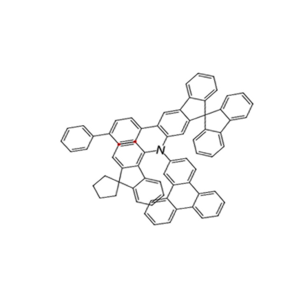 c1ccc(-c2ccc(-c3cc4c(cc3N(c3ccc5c6ccccc6c6ccccc6c5c3)c3cccc5c3-c3ccccc3C53CCCC3)C3(c5ccccc5-c5ccccc53)c3ccccc3-4)cc2)cc1